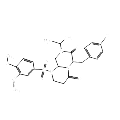 COc1ccc(S(=O)(=O)N2CCC(=O)N3C(Cc4ccc(Cl)cc4)C(=O)N(C(C)C)CC32)cc1OC